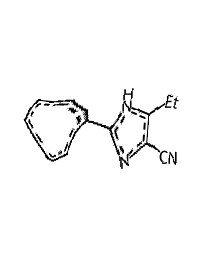 CCc1[nH]c(-c2ccccc2)nc1C#N